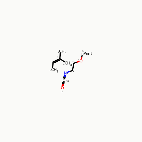 CC=C(C)C.CCCCCOCCN=C=O